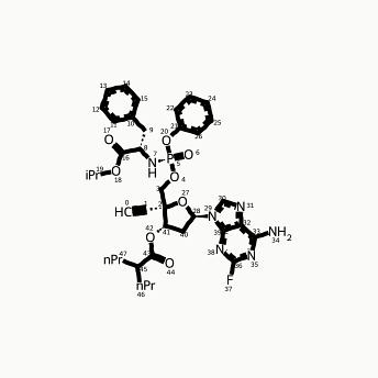 C#C[C@]1(CO[P@@](=O)(N[C@@H](Cc2ccccc2)C(=O)OC(C)C)Oc2ccccc2)O[C@@H](n2cnc3c(N)nc(F)nc32)C[C@@H]1OC(=O)C(CCC)CCC